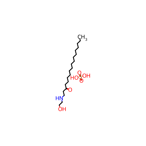 CCCCCCCCCCCCCCCC(=O)CCNCCO.O=S(=O)(O)O